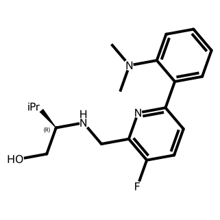 CC(C)[C@H](CO)NCc1nc(-c2ccccc2N(C)C)ccc1F